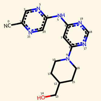 N#Cc1cnc(Nc2cc(N3CCC(CO)CC3)ncn2)cn1